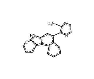 O=[N+]([O-])c1cccnc1-c1cc2[nH]c3ccccc3c2c2ccccc12